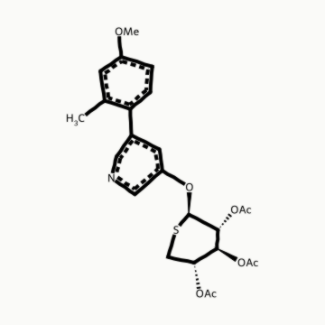 COc1ccc(-c2cncc(O[C@@H]3SC[C@@H](OC(C)=O)[C@H](OC(C)=O)[C@H]3OC(C)=O)c2)c(C)c1